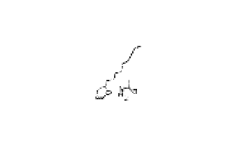 CC(N)=O.CCCCCCCCC1CCCO1